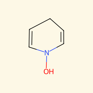 ON1C=CCC=C1